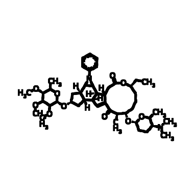 CC[C@H]1CCC[C@H](O[C@H]2CC[C@H](N(C)C)C(C)O2)[C@@H](C)C(=O)C2=C[C@H]3[C@@H]4C[C@H](O[C@@H]5OC(C)[C@H](OC)C(OC)C5OC)C[C@H]4C4C([C@H]3[C@@H]2CC(=O)O1)N4c1ccccc1